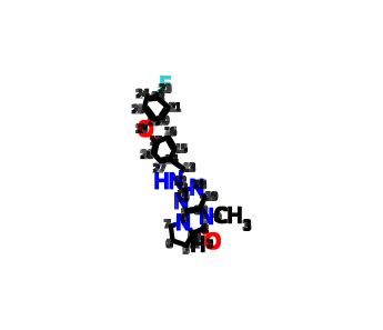 CN1C(=O)[C@H]2CCCN2c2nc(NCc3ccc(Oc4ccc(F)cc4)cc3)ncc21